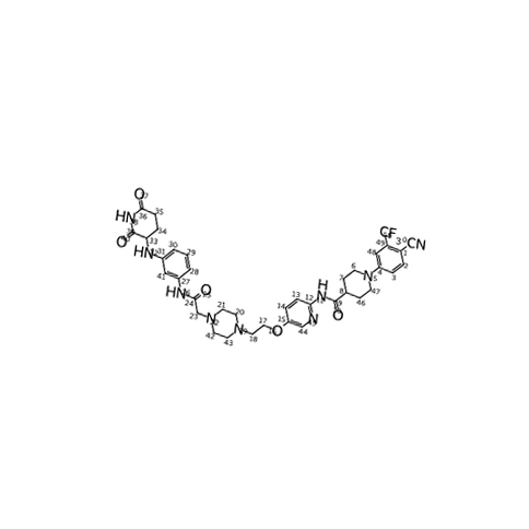 N#Cc1ccc(N2CCC(C(=O)Nc3ccc(OCCN4CCN(CC(=O)Nc5cccc(NC6CCC(=O)NC6=O)c5)CC4)cn3)CC2)cc1C(F)(F)F